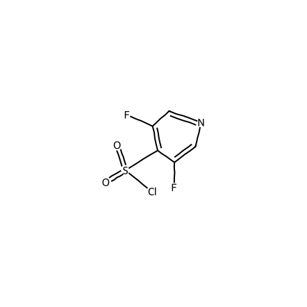 O=S(=O)(Cl)c1c(F)cncc1F